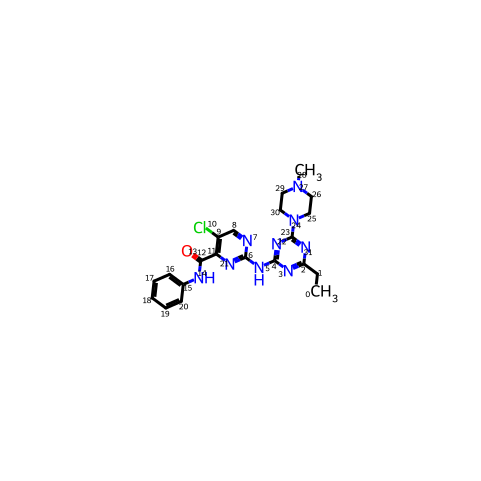 CCc1nc(Nc2ncc(Cl)c(C(=O)Nc3ccccc3)n2)nc(N2CCN(C)CC2)n1